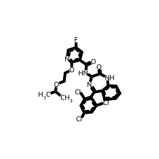 CC(C)OCCOc1ncc(F)cc1C(=O)NC1N=C(c2c(Cl)cc(Cl)cc2Cl)c2ccccc2NC1=O